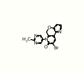 Cc1ncc(-n2c3c(cc(Br)c2=O)-c2ncccc2OC3)cn1